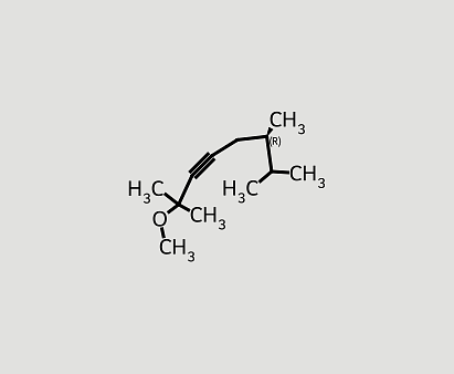 COC(C)(C)C#CC[C@@H](C)C(C)C